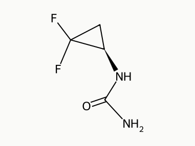 NC(=O)N[C@@H]1CC1(F)F